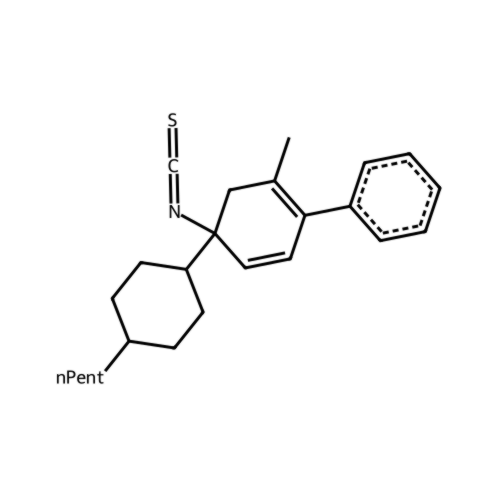 CCCCCC1CCC(C2(N=C=S)C=CC(c3ccccc3)=C(C)C2)CC1